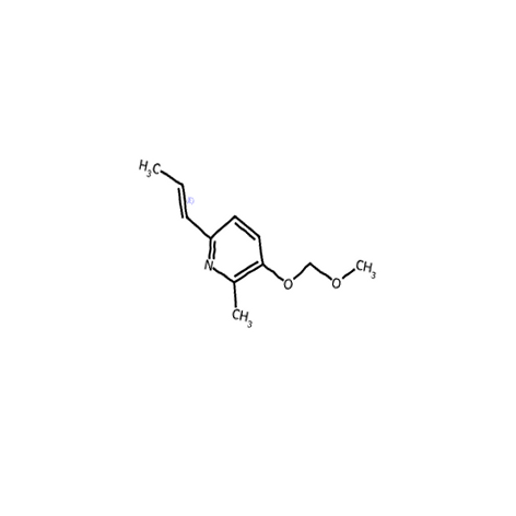 C/C=C/c1ccc(OCOC)c(C)n1